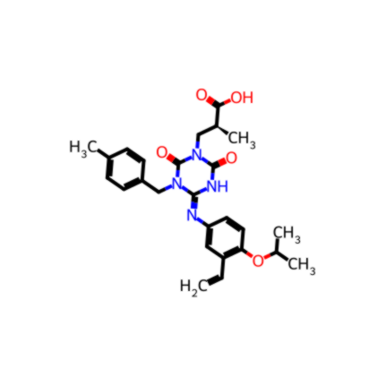 C=Cc1cc(/N=c2\[nH]c(=O)n(C[C@H](C)C(=O)O)c(=O)n2Cc2ccc(C)cc2)ccc1OC(C)C